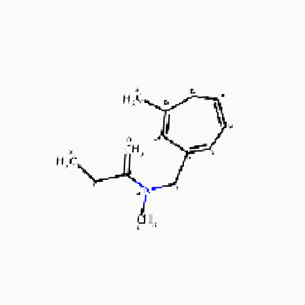 C=C(CC)N(C)CC1=CC=CCC(C)=C1